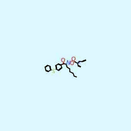 C=C/C=C(\C=C)C(=O)O/N=C(\CCCCCC)C(=O)c1ccc(Sc2ccccc2)cc1